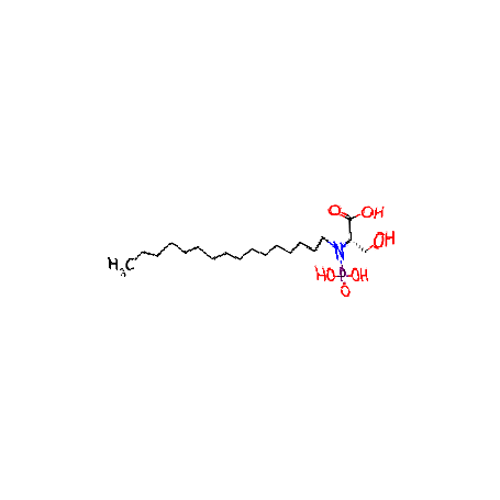 CCCCCCCCCCCCCCCCN([C@@H](CO)C(=O)O)P(=O)(O)O